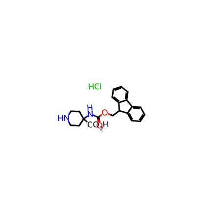 Cl.O=C(NC1(C(=O)O)CCNCC1)OCC1c2ccccc2-c2ccccc21